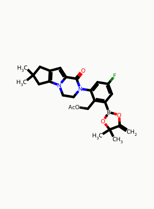 C=C1OB(c2cc(F)cc(N3CCn4c(cc5c4CC(C)(C)C5)C3=O)c2COC(C)=O)OC1(C)C